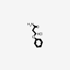 Cl.NC(=O)CCOc1ccccc1